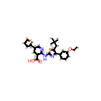 CCOc1cccc(-c2nc(Nc3ncc(-c4cccs4)cc3C(=O)O)sc2CC(C)(C)C)c1